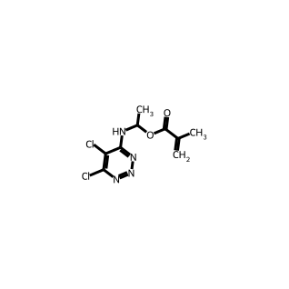 C=C(C)C(=O)OC(C)Nc1nnnc(Cl)c1Cl